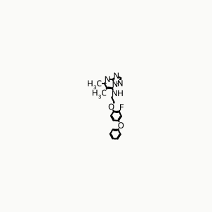 Cc1nc2ncnn2c(NCCOc2ccc(Oc3ccccc3)cc2F)c1C